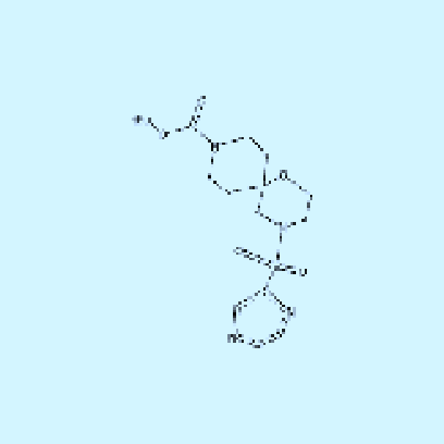 CC(C)(C)OC(=O)N1CCC2(CC1)CN(S(=O)(=O)c1cnccn1)CCO2